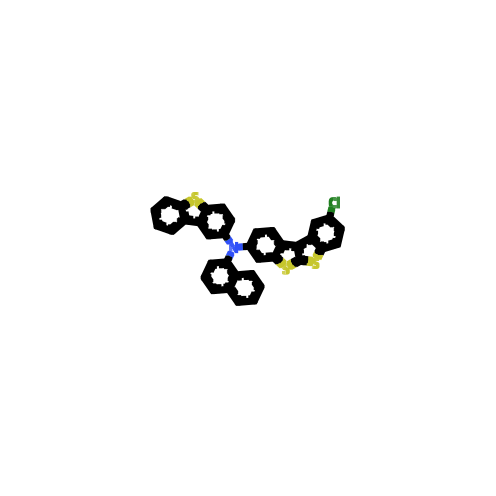 Clc1ccc2sc3sc4cc(N(c5ccc6sc7ccccc7c6c5)c5cccc6ccccc56)ccc4c3c2c1